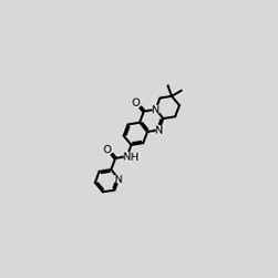 CC1(C)CCc2nc3cc(NC(=O)c4ccccn4)ccc3c(=O)n2C1